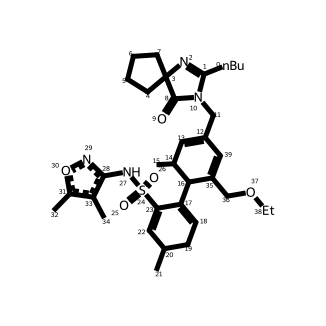 CCCCC1=NC2(CCCC2)C(=O)N1CC1=CC(C)C(C2=CCC(C)C=C2S(=O)(=O)Nc2noc(C)c2C)C(COCC)=C1